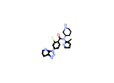 Cc1cccnc1N(C(=O)c1ccc(-n2nnc3cccnc32)cc1F)[C@@H]1CCCNC1